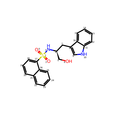 O=S(=O)(N[C@H](CO)Cc1c[nH]c2ccccc12)c1cccc2ccccc12